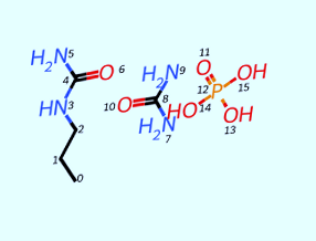 CCCNC(N)=O.NC(N)=O.O=P(O)(O)O